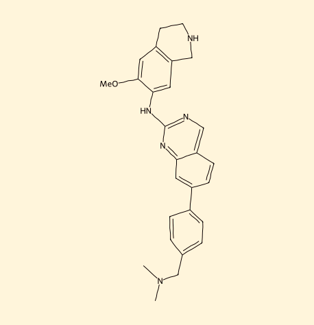 COc1cc2c(cc1Nc1ncc3ccc(-c4ccc(CN(C)C)cc4)cc3n1)CNCC2